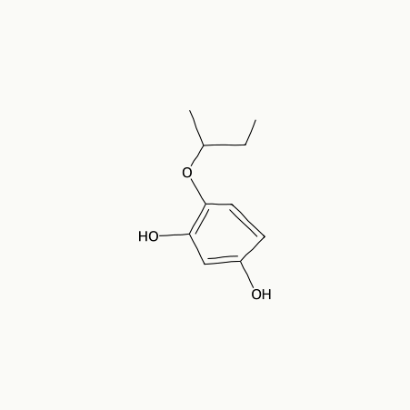 CCC(C)Oc1ccc(O)cc1O